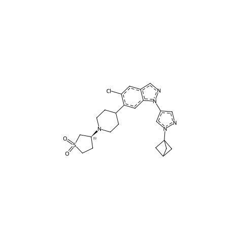 O=S1(=O)CC[C@H](N2CCC(c3cc4c(cnn4-c4cnn(C56CC(C5)C6)c4)cc3Cl)CC2)C1